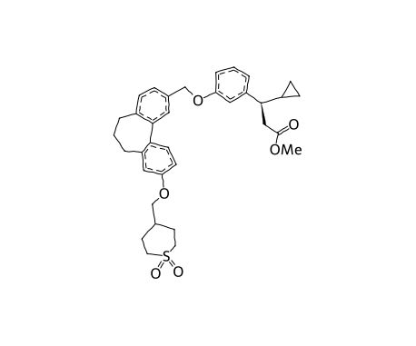 COC(=O)C[C@@H](c1cccc(OCc2ccc3c(c2)-c2ccc(OCC4CCS(=O)(=O)CC4)cc2CCC3)c1)C1CC1